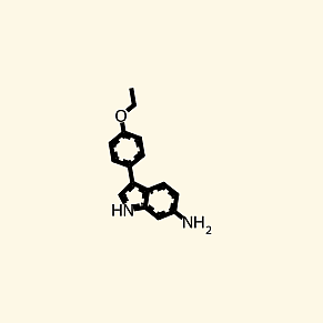 CCOc1ccc(-c2c[nH]c3cc(N)ccc23)cc1